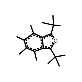 Cc1c(C)c(C)c2c(C(C)(C)C)oc(C(C)(C)C)c2c1C